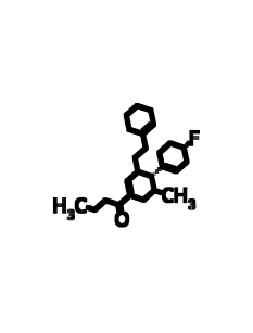 CCCC(=O)C1=CC(CCC2=CCCCC2)[C@H](C2=CC[C@H](F)CC2)C(C)C1